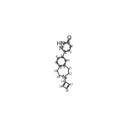 O=c1ccc(-c2ccc3c(c2)CCN(C2=CC=C2)CC3)n[nH]1